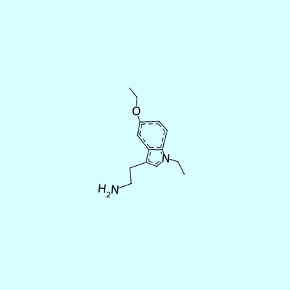 CCOc1ccc2c(c1)c(CCN)cn2CC